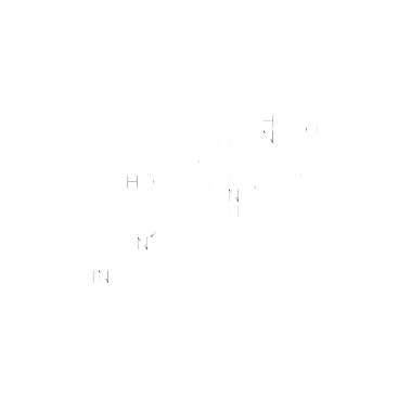 O=C1CCC(NC(=O)C2=C(O)[C@H](N3CCNCC3)C2)C(=O)N1